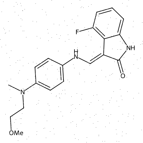 COCCN(C)c1ccc(N/C=C2/C(=O)Nc3cccc(F)c32)cc1